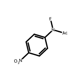 CC(=O)N(F)c1ccc([N+](=O)[O-])cc1